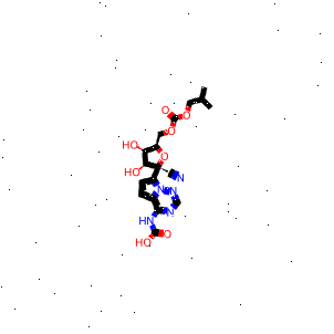 CC(C)COC(=O)OC[C@H]1O[C@@](C#N)(c2ccc3c(NC(=O)O)ncnn23)[C@H](O)[C@@H]1O